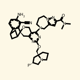 CN(C)C(=O)c1cc2n(n1)CCCN(c1nc(OC[C@@]34CCCN3C[C@H](F)C4)nc3c1CO[C@@]1(C3)c3c(ccc(N)c3C#N)C3CC1C3)C2